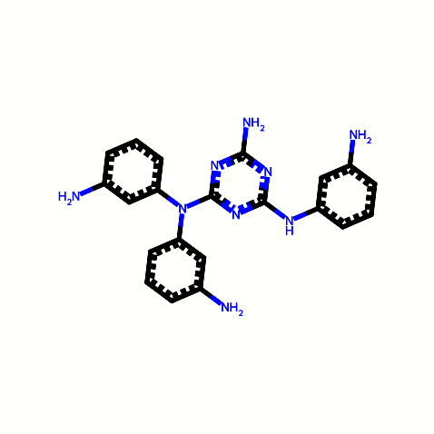 Nc1cccc(Nc2nc(N)nc(N(c3cccc(N)c3)c3cccc(N)c3)n2)c1